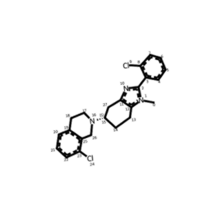 Cn1c(-c2ccccc2Cl)nc2c1CC[C@H](N1CCc3cccc(Cl)c3C1)C2